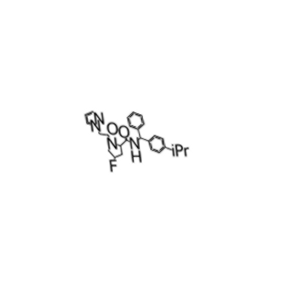 CC(C)c1ccc(C(NC(=O)C2CC(F)CN2C(=O)Cn2cccn2)c2ccccc2)cc1